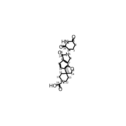 O=C1CC[C@H](N2Cc3c(ccc4c3OCC43CCN(C(=O)O)CC3)C2=O)C(=O)N1